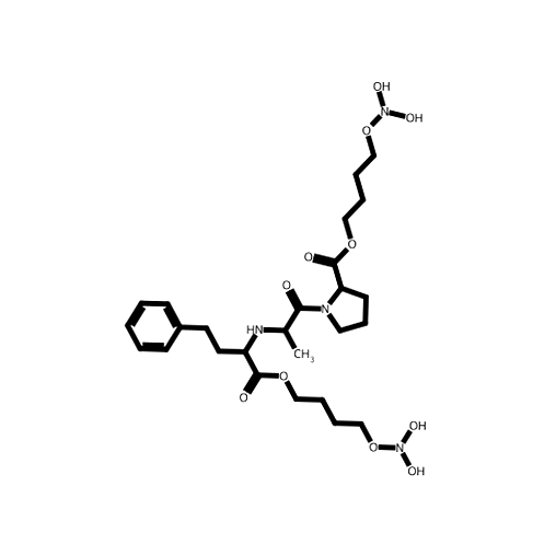 CC(NC(CCc1ccccc1)C(=O)OCCCCON(O)O)C(=O)N1CCCC1C(=O)OCCCCON(O)O